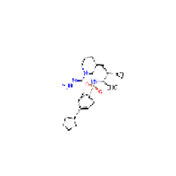 NN=CN1CCCC(C[C@@H](C2CC2)[C@@H]([C]=O)NS(=O)(=O)c2ccc(C3CCCC3)cc2)C1